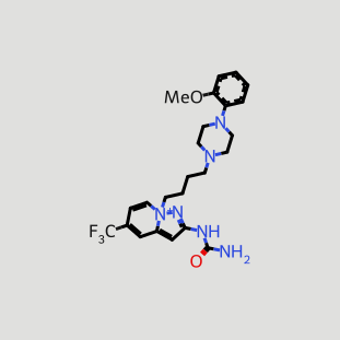 COc1ccccc1N1CCN(CCCC[N+]23C=CC(C(F)(F)F)=CC2=CC(NC(N)=O)=N3)CC1